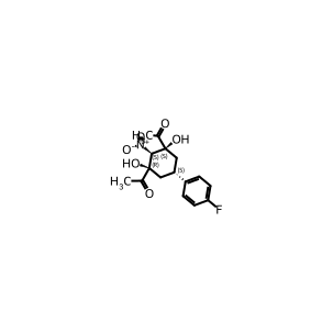 CC(=O)[C@]1(O)C[C@H](c2ccc(F)cc2)C[C@](O)(C(C)=O)[C@H]1[N+](=O)[O-]